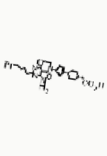 CC(C)CCCCc1nc(N)c2c(n1)OCCN(c1ccc([C@H]3CC[C@H](CC(=O)O)CC3)cc1)C2=O